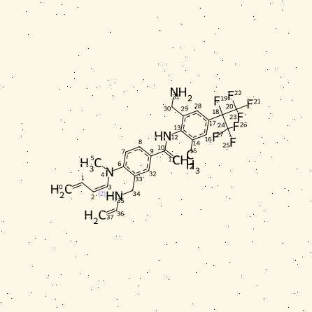 C=C/C=C\N(C)c1ccc(C(=C)Nc2c(C)cc(C(F)(C(F)(F)F)C(F)(F)F)cc2CN)cc1CNC=C